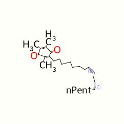 CCCCC/C=C\C/C=C\CCCCCCCC1=C(C)C(=O)C(C)=C(C)C1=O